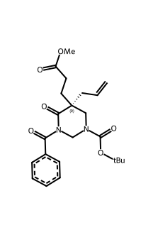 C=CC[C@]1(CCC(=O)OC)CN(C(=O)OC(C)(C)C)CN(C(=O)c2ccccc2)C1=O